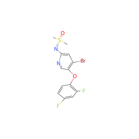 CS(C)(=O)=Nc1cc(Br)c(Oc2ccc(F)cc2F)cn1